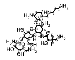 NCCCNC[C@@H]1CC[C@@H](N)[C@@H](O[C@H]2[C@H](O[C@@H]3O[C@H](CO)[C@@H](O[C@H]4O[C@@H](CN)[C@@H](O)[C@H](O)[C@H]4N)[C@H]3O)[C@@H](O)[C@H](NC(=O)C(O)C(F)(F)CN)C[C@@H]2N)O1